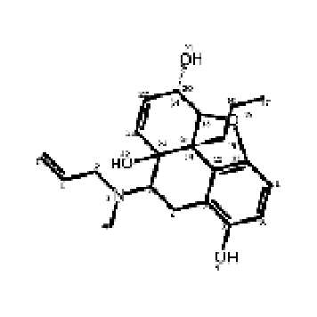 C=CCN(C)C1Cc2c(O)ccc3c2[C@@]2(CCC)C(O3)[C@@H](O)C=CC12O